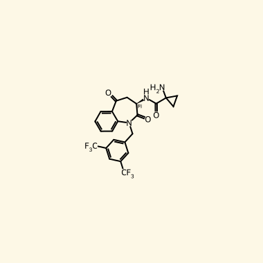 NC1(C(=O)N[C@@H]2CC(=O)c3ccccc3N(Cc3cc(C(F)(F)F)cc(C(F)(F)F)c3)C2=O)CC1